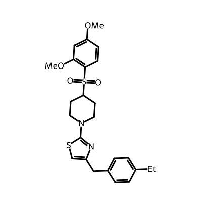 CCc1ccc(Cc2csc(N3CCC(S(=O)(=O)c4ccc(OC)cc4OC)CC3)n2)cc1